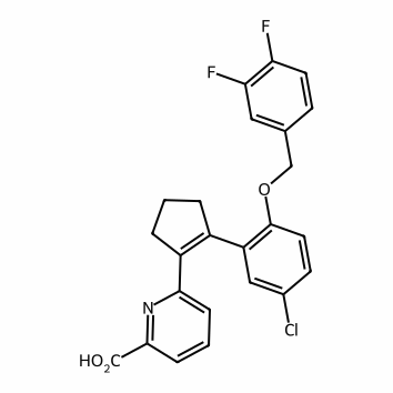 O=C(O)c1cccc(C2=C(c3cc(Cl)ccc3OCc3ccc(F)c(F)c3)CCC2)n1